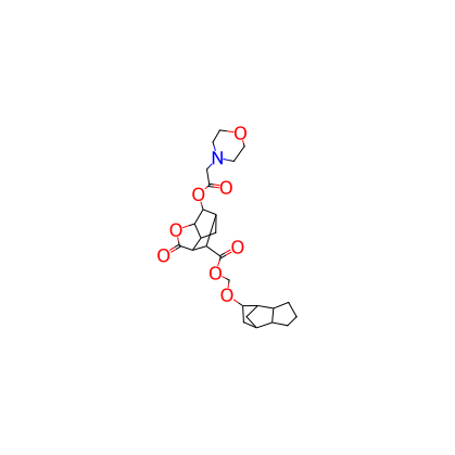 O=C(CN1CCOCC1)OC1C2CC3C1OC(=O)C3C2C(=O)OCOC1CC2CC1C1CCCC21